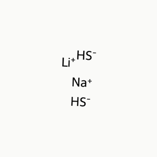 [Li+].[Na+].[SH-].[SH-]